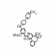 COc1cc(C(=O)N2CCC(N3CCN(C)CC3)CC2)ccc1Nc1ncc2c(n1)-c1ccccc1CC(=O)N2C